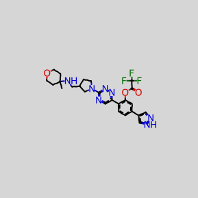 CC1(NCC2CCN(c3ncc(-c4ccc(-c5cn[nH]c5)cc4OC(=O)C(F)(F)F)nn3)C2)CCOCC1